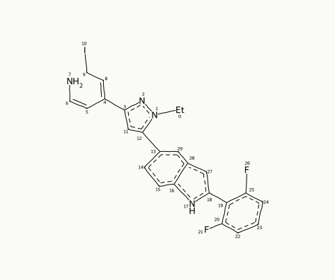 CCn1nc(C(/C=C\N)=C/CI)cc1-c1ccc2[nH]c(-c3c(F)cccc3F)cc2c1